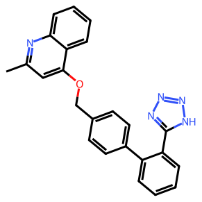 Cc1cc(OCc2ccc(-c3ccccc3-c3nnn[nH]3)cc2)c2ccccc2n1